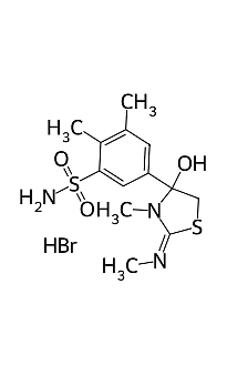 Br.CN=C1SCC(O)(c2cc(C)c(C)c(S(N)(=O)=O)c2)N1C